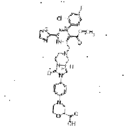 COC(=O)C1=C(CN2CCN3C(=O)N(c4ccc(N5CCOC(C(=O)O)C5)cc4)C[C@@H]3C2)NC(c2nccs2)=N[C@H]1c1ccc(F)cc1Cl